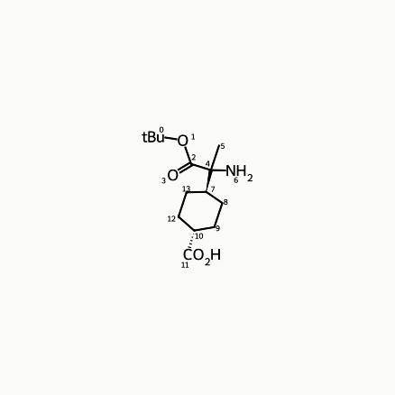 CC(C)(C)OC(=O)C(C)(N)[C@H]1CC[C@H](C(=O)O)CC1